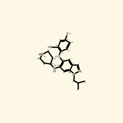 CC(C)Cn1ncc2cc(Oc3ccc(F)cc3F)c(NC3CCNCC3)cc21